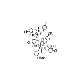 COc1cccc(CC(=O)N[C@H](CC(=O)O)Cc2ccc(Cl)cc2)c1.O=C(O)C[C@H](Cc1ccc(C(F)(F)F)cc1)NC(=O)Cc1ccc(Cl)c(Cl)c1.O=C(O)C[C@H](Cc1ccc(Cl)cc1)NC(=O)Cc1ccc(Cl)c(Cl)c1